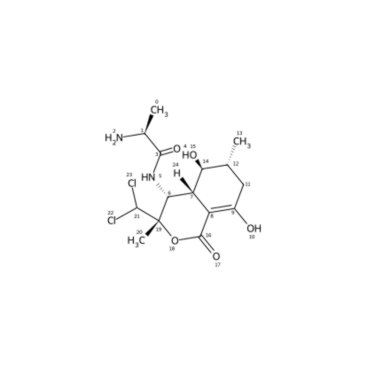 C[C@H](N)C(=O)N[C@@H]1[C@H]2C(=C(O)C[C@@H](C)[C@@H]2O)C(=O)O[C@]1(C)C(Cl)Cl